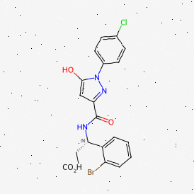 O=C(O)C[C@H](NC(=O)c1cc(O)n(-c2ccc(Cl)cc2)n1)c1ccccc1Br